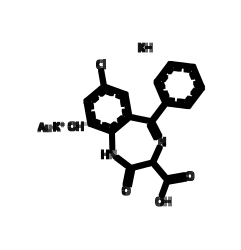 O=C(O)C1N=C(c2ccccc2)c2cc(Cl)ccc2NC1=O.[Au].[K+].[KH].[OH-]